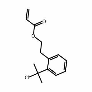 C=CC(=O)OCCc1ccccc1C(C)(C)Cl